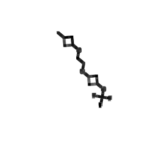 CC1CC(OCCOC2CC(OC(F)(F)F)C2)C1